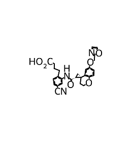 N#Cc1ccc(CCCC(=O)O)c(NC(=O)[C@@H]2C[C@]23CCOc2ccc(OCc4ncco4)cc23)c1